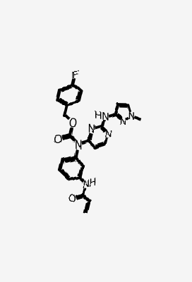 C=CC(=O)Nc1cccc(N(C(=O)OCc2ccc(F)cc2)c2ccnc(Nc3ccn(C)n3)n2)c1